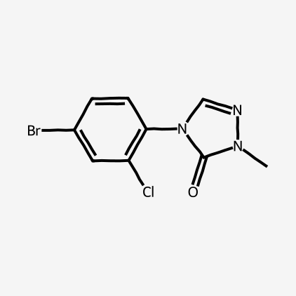 Cn1ncn(-c2ccc(Br)cc2Cl)c1=O